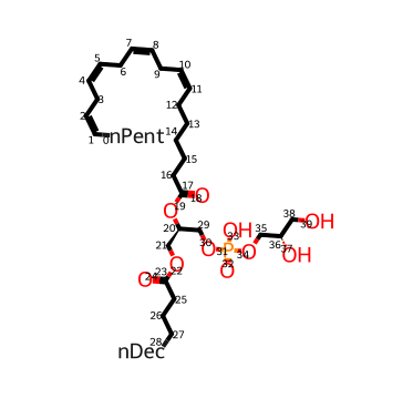 CCCCC/C=C\C/C=C\C/C=C\C/C=C\CCCCCC(=O)O[C@H](COC(=O)CCCCCCCCCCCCC)COP(=O)(O)OC[C@@H](O)CO